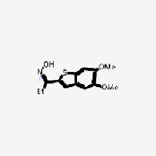 CC/C(=N/O)c1cc2cc(OC)c(OC)cc2s1